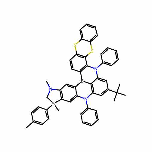 Cc1ccc([Si]2(C)CN(C)c3cc4c(cc32)N(c2ccccc2)c2cc(C(C)(C)C)cc3c2B4c2ccc4c(c2N3c2ccccc2)Sc2ccccc2S4)cc1